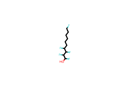 OC(F)C(F)C(F)C(F)CCCCCCF